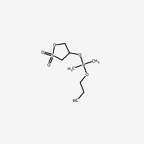 C[Si](C)(OCCC#N)OC1COS(=O)(=O)C1